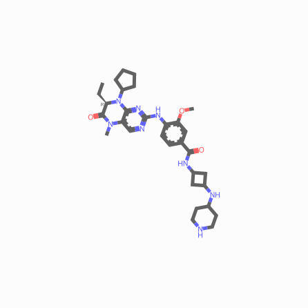 CC[C@@H]1C(=O)N(C)c2cnc(Nc3ccc(C(=O)NC4CC(NC5CCNCC5)C4)cc3OC)nc2N1C1CCCC1